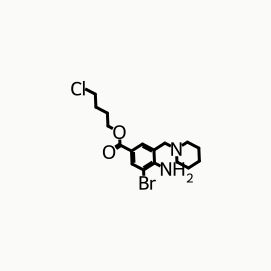 Nc1c(Br)cc(C(=O)OCCCCCl)cc1CN1CCCCC1